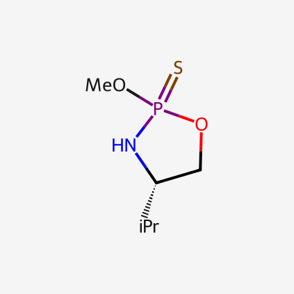 COP1(=S)N[C@@H](C(C)C)CO1